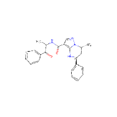 CC(NC(=O)c1cnn2c1N[C@H](c1ccccc1)CC2C(F)(F)F)C(=O)c1ccccc1